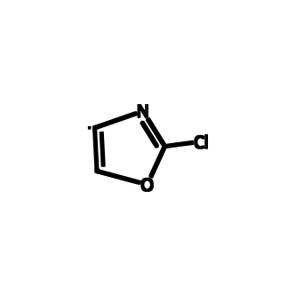 Clc1n[c]co1